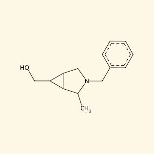 CC1C2C(CO)C2CN1Cc1ccccc1